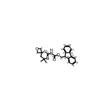 CC1(C)CC2(COC2)SC(NC(=O)OCC2c3ccccc3-c3ccccc32)=N1